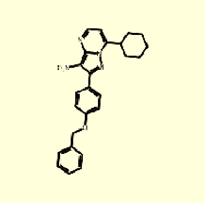 O=[N+]([O-])c1c(-c2ccc(OCc3ccccc3)cc2)nn2c(C3CCCCC3)ccnc12